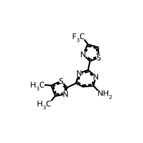 Cc1nc(-c2cc(N)nc(-c3nc(C(F)(F)F)cs3)n2)sc1C